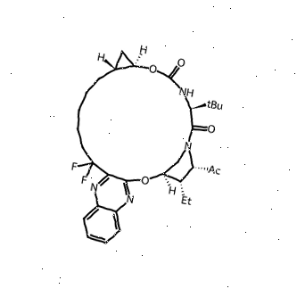 CC[C@@H]1[C@@H]2CN(C(=O)[C@H](C(C)(C)C)NC(=O)O[C@@H]3C[C@H]3CCCCCC(F)(F)c3nc4ccccc4nc3O2)[C@@H]1C(C)=O